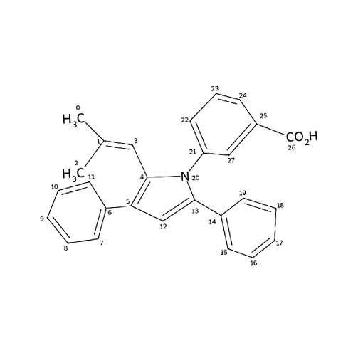 CC(C)=Cc1c(-c2ccccc2)cc(-c2ccccc2)n1-c1cccc(C(=O)O)c1